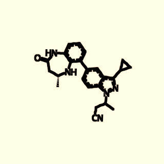 CC(CC#N)n1nc(C2CC2)c2cc(-c3cccc4c3N[C@H](C)CC(=O)N4)ccc21